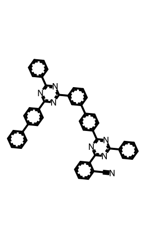 N#Cc1ccccc1-c1nc(-c2ccccc2)nc(-c2ccc(-c3cccc(-c4nc(-c5ccccc5)nc(-c5ccc(-c6ccccc6)cc5)n4)c3)cc2)n1